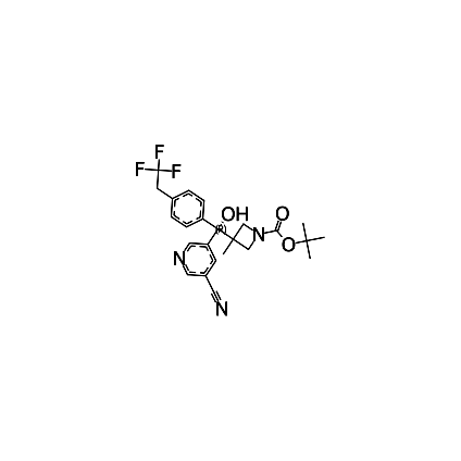 CC(C)(C)OC(=O)N1CC(C)([C@](O)(c2ccc(CC(F)(F)F)cc2)c2cncc(C#N)c2)C1